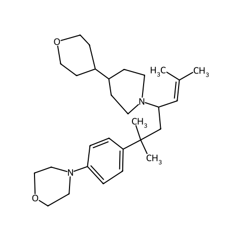 CC(C)=CC(CC(C)(C)c1ccc(N2CCOCC2)cc1)N1CCC(C2CCOCC2)CC1